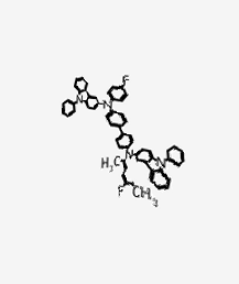 CC/C(F)=C\C=C(/C)N(c1ccc(-c2ccc(N(c3ccc(F)cc3)c3ccc4c(c3)c3ccccc3n4-c3ccccc3)cc2)cc1)c1ccc2c(c1)c1ccccc1n2C1=CC=CCC1